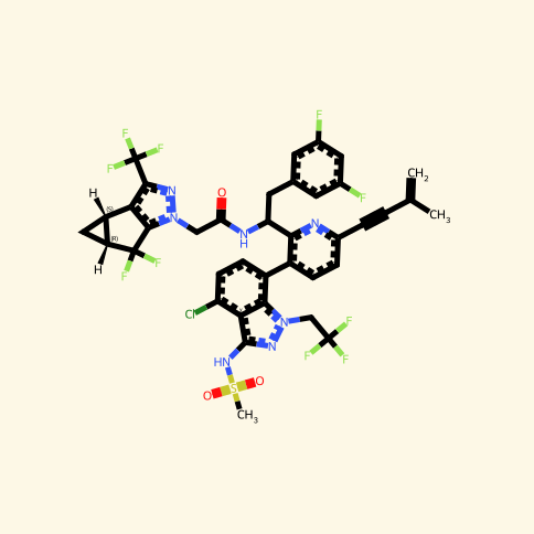 C=C(C)C#Cc1ccc(-c2ccc(Cl)c3c(NS(C)(=O)=O)nn(CC(F)(F)F)c23)c(C(Cc2cc(F)cc(F)c2)NC(=O)Cn2nc(C(F)(F)F)c3c2C(F)(F)[C@@H]2C[C@H]32)n1